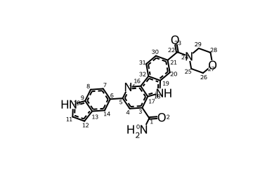 NC(=O)c1cc(-c2ccc3[nH]ccc3c2)nc2c1[nH]c1cc(C(=O)N3CCOCC3)ccc12